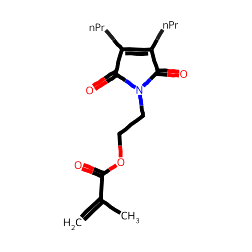 C=C(C)C(=O)OCCN1C(=O)C(CCC)=C(CCC)C1=O